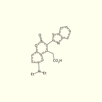 CCN(CC)c1ccc2oc(=O)c(-c3nc4ccccc4s3)c(CC(=O)O)c2c1